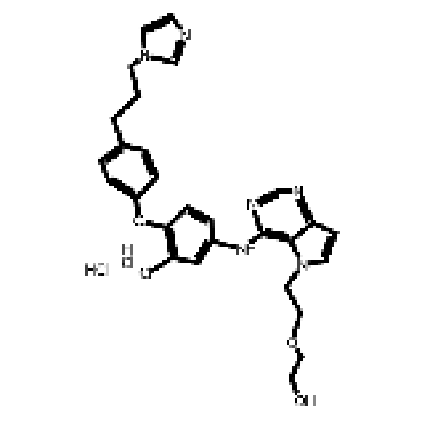 Cl.Cl.OCCOCCn1ccc2ncnc(Nc3ccc(Oc4ccc(CCCn5ccnc5)cc4)c(Cl)c3)c21